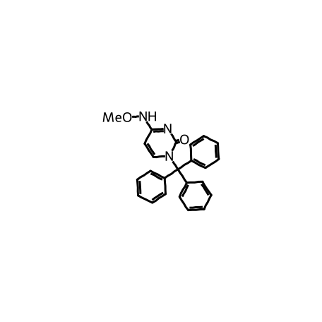 CONc1ccn(C(c2ccccc2)(c2ccccc2)c2ccccc2)c(=O)n1